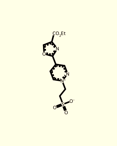 CCOC(=O)c1coc(-c2cc[n+](CCS(=O)(=O)[O-])nc2)n1